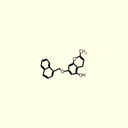 CC1=CCc2c(O)cc(OCc3cccc4ccccc34)cc2O1